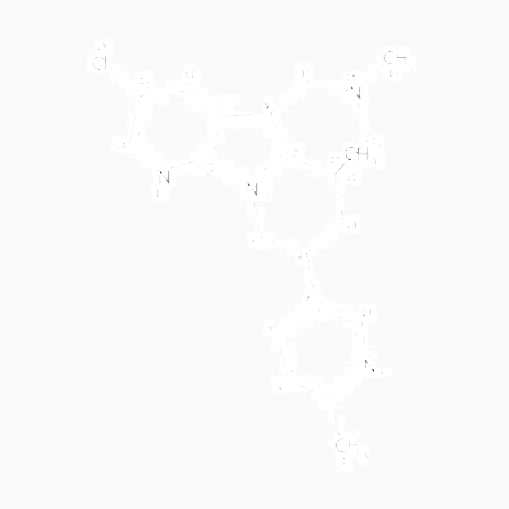 Cc1ccc(C2Cn3c4c(c5cc(Cl)cnc53)CN(C)CC4(C)C2)cn1